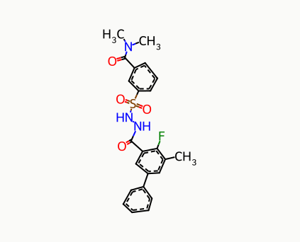 Cc1cc(-c2ccccc2)cc(C(=O)NNS(=O)(=O)c2cccc(C(=O)N(C)C)c2)c1F